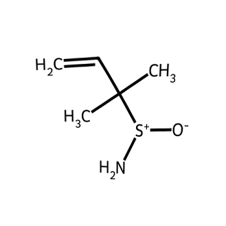 C=CC(C)(C)[S+](N)[O-]